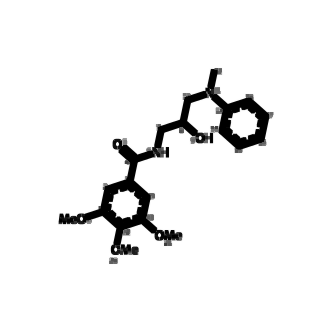 COc1cc(C(=O)NCC(O)CN(C)c2ccccc2)cc(OC)c1OC